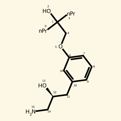 CCCC(O)(CCC)COc1cccc(C[C@H](O)CN)c1